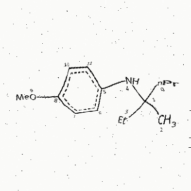 CCCC(C)(CC)Nc1ccc(OC)cc1